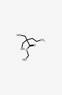 CCCC(CO)(CO)C(=O)OCO